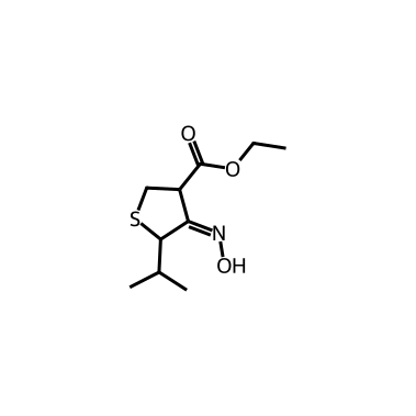 CCOC(=O)C1CSC(C(C)C)C1=NO